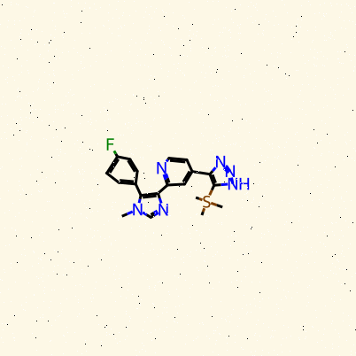 Cn1cnc(-c2cc(-c3nn[nH]c3S(C)(C)C)ccn2)c1-c1ccc(F)cc1